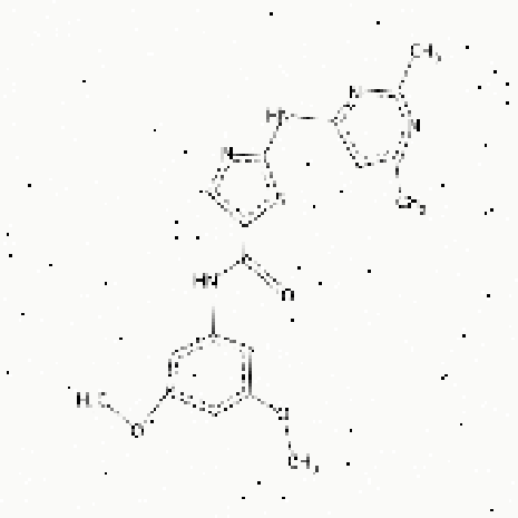 COc1cc(NC(=O)c2cnc(Nc3cc(C)nc(C)n3)s2)cc(OC)c1